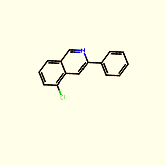 Clc1cccc2cnc(-c3ccccc3)cc12